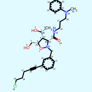 C[C@@H](O)[C@H]1[C@@H](CO)ON(Cc2cccc(C#CCCCCl)c2)[C@H]1C(=O)NCCCN(C)c1ccccc1